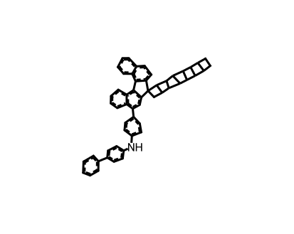 c1ccc(-c2ccc(Nc3ccc(-c4cc5c(c6ccccc46)-c4c(ccc6ccccc46)C54CC5C6C7C8C9C%10CCC%10C9C8C7C6C54)cc3)cc2)cc1